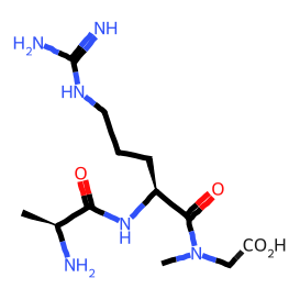 C[C@H](N)C(=O)N[C@@H](CCCNC(=N)N)C(=O)N(C)CC(=O)O